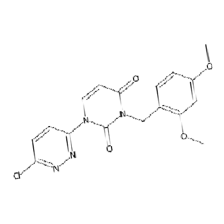 COc1ccc(Cn2c(=O)ccn(-c3ccc(Cl)nn3)c2=O)c(OC)c1